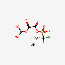 O=C(OB(O)O)C(=O)OS(=O)(=O)C(F)(F)S(=O)(=O)O.[LiH]